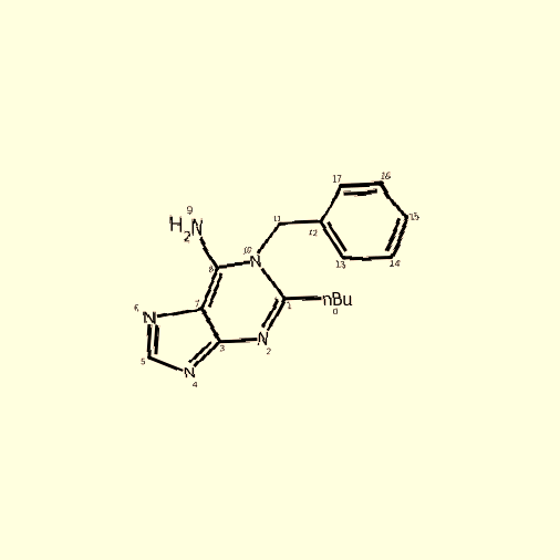 CCCCc1nc2ncnc-2c(N)n1Cc1ccccc1